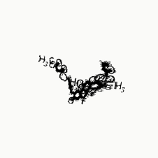 COC(=O)CC(=O)OCC#CCC1=C[C@@]2(C)C(=CC1=O)[C@@H](F)C[C@H]1[C@@H]3C[C@@H](C)[C@H](OC(=O)c4ccco4)[C@@]3(C)C[C@H](O)[C@@]12F